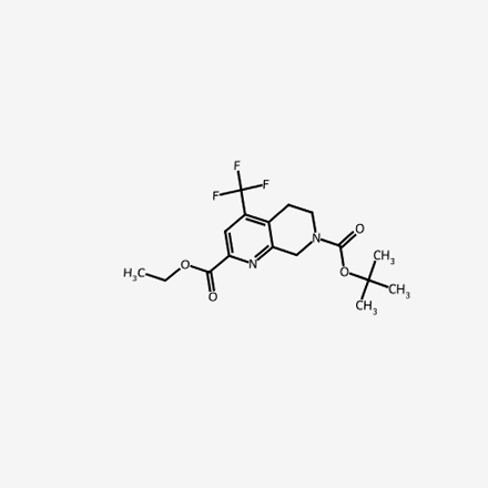 CCOC(=O)c1cc(C(F)(F)F)c2c(n1)CN(C(=O)OC(C)(C)C)CC2